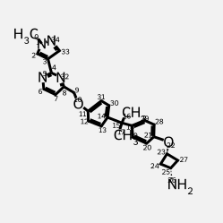 Cn1cc(-c2nccc(COc3ccc(C(C)(C)c4ccc(O[C@H]5C[C@@H](N)C5)cc4)cc3)n2)cn1